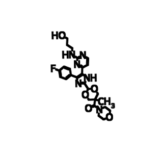 CC1(C(=O)N2CCOCC2)COC(c2nc(-c3ccc(F)cc3)c(-c3ccnc(NCCCO)n3)[nH]2)OC1